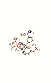 CC(=O)O[C@]1(C(C)=O)CC[C@H]2[C@@H]3CCC4=CC(=O)C[C@@H](c5ccc(N(C)C)cc5)C4=C3CC[C@@]21C